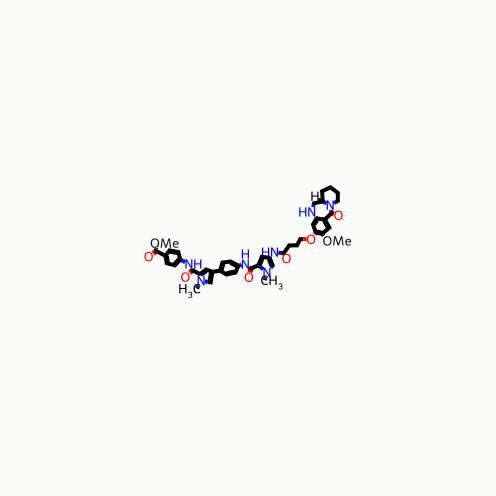 COC(=O)c1ccc(NC(=O)c2cc(-c3ccc(NC(=O)c4cc(NC(=O)CCCOc5cc6c(cc5OC)C(=O)N5CCCC[C@H]5CN6)cn4C)cc3)cn2C)cc1